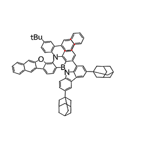 CC(C)(C)c1ccc(N2c3cc(-c4ccccc4)cc4c3B(c3ccc5c(oc6cc7ccccc7cc65)c32)n2c3ccc(C56CC7CC(CC(C7)C5)C6)cc3c3cc(C56CC7CC(CC(C7)C5)C6)cc-4c32)c(-c2ccccc2)c1